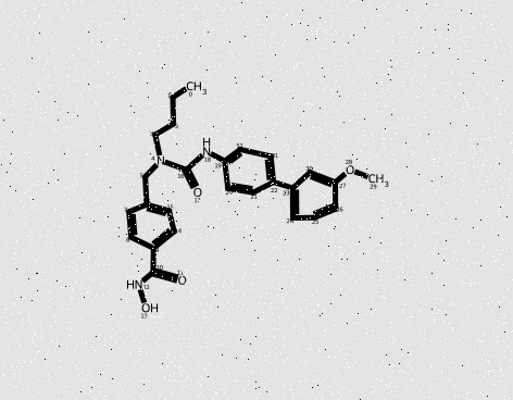 CCCCN(Cc1ccc(C(=O)NO)cc1)C(=O)Nc1ccc(-c2cccc(OC)c2)cc1